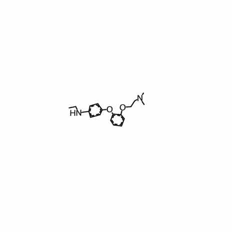 CCNc1ccc(Oc2ccccc2OCCN(C)C)cc1